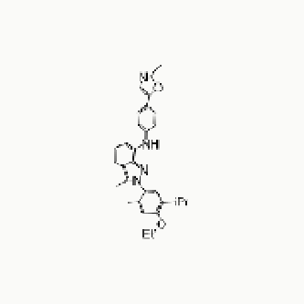 CCOc1cc(C)c(-n2nc3c(Nc4ccc(-c5cnc(C)o5)cc4)cccc3c2C)cc1C(C)C